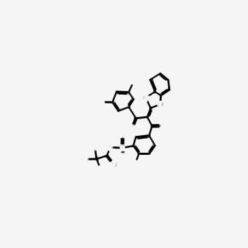 CC(C)(O)C(=N)NS(=O)(=O)c1cc(C(=O)C(C(=O)c2cc(F)cc(F)c2)=C2Nc3ccccc3N2)ccc1F